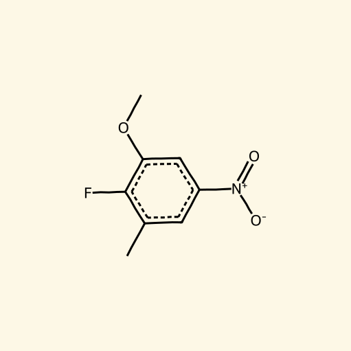 COc1cc([N+](=O)[O-])cc(C)c1F